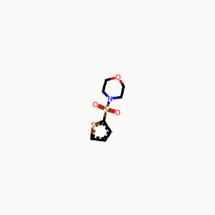 O=S(=O)(c1[c]ccs1)N1CCOCC1